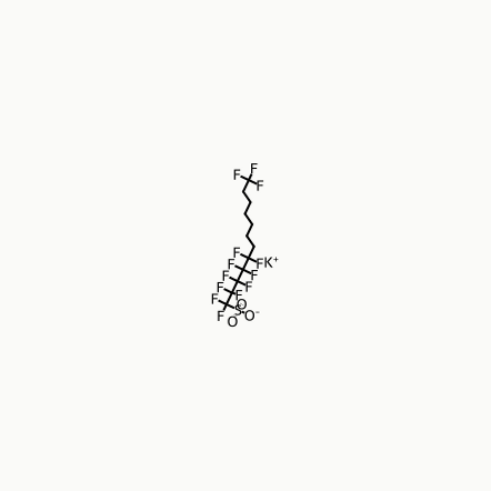 O=S(=O)([O-])C(F)(F)C(F)(F)C(F)(F)C(F)(F)C(F)(F)CCCCCCC(F)(F)F.[K+]